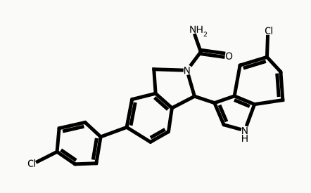 NC(=O)N1Cc2cc(-c3ccc(Cl)cc3)ccc2C1c1c[nH]c2ccc(Cl)cc12